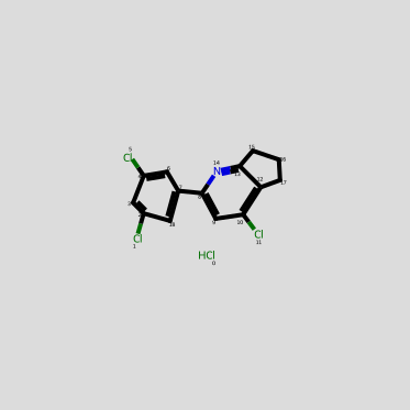 Cl.Clc1cc(Cl)cc(-c2cc(Cl)c3c(n2)CCC3)c1